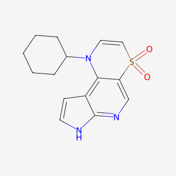 O=S1(=O)C=CN(C2CCCCC2)c2c1cnc1[nH]ccc21